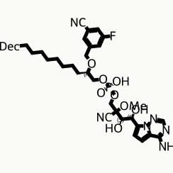 CCCCCCCCCCCCCCCCCC[C@H](COP(=O)(O)OCC(C#N)(OC)[C@@H](O)[C@@H](O)c1ccc2c(N)ncnn12)OCc1cc(F)cc(C#N)c1